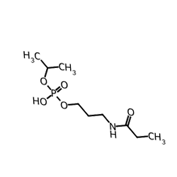 CCC(=O)NCCCOP(=O)(O)OC(C)C